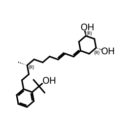 C[C@H](CCCC=CC=C1C[C@@H](O)C[C@H](O)C1)CCc1ccccc1C(C)(C)O